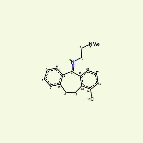 CNCC/N=C1/c2ccccc2CCc2c(Cl)cccc21